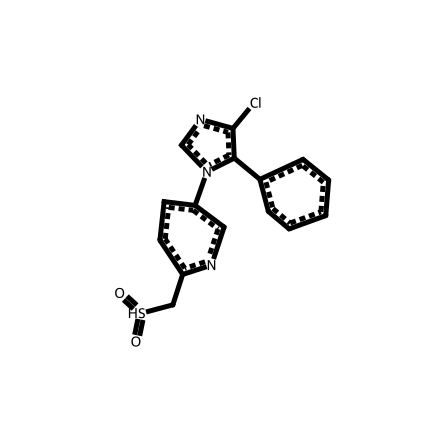 O=[SH](=O)Cc1ccc(-n2cnc(Cl)c2-c2ccccc2)cn1